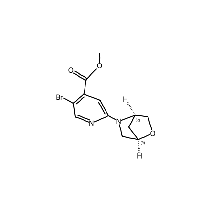 COC(=O)c1cc(N2C[C@H]3C[C@@H]2CO3)ncc1Br